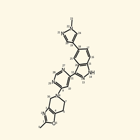 Cc1nc2c(o1)CCN(c1cc(-c3n[nH]c4ccc(-c5cnn(C)c5)cc34)ncn1)C2